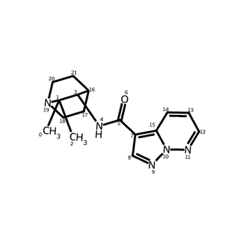 CC1(C)C(NC(=O)c2cnn3ncccc23)C2CCN1CC2